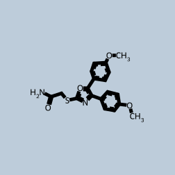 COc1ccc(-c2nc(SCC(N)=O)oc2-c2ccc(OC)cc2)cc1